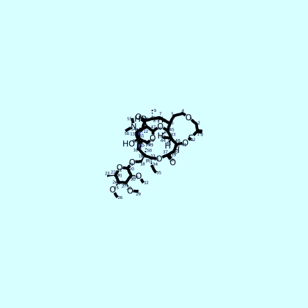 C=C1COCC[C@H]2C[C@@H](C)C(=O)/C=C/C(C)=C/[C@H](COC3O[C@H](C)[C@@H](OC)[C@@H](OC)[C@H]3OC)[C@@H](CC)OC(=O)C[C@@H](OC1)[C@H](C)[C@H]2OC1O[C@H](C)[C@@H](O)[C@H](N(C)C)[C@H]1O